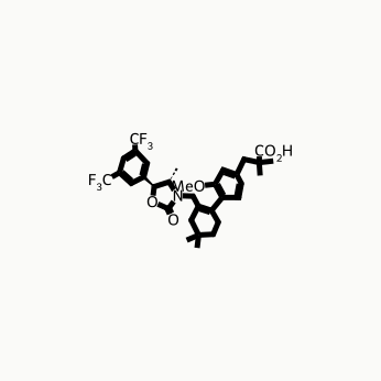 COc1cc(CC(C)(C)C(=O)O)ccc1C1=C(CN2C(=O)O[C@@H](c3cc(C(F)(F)F)cc(C(F)(F)F)c3)[C@@H]2C)CC(C)(C)CC1